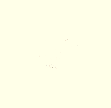 COC(=O)c1ccccc1-c1ccc(C)cc1